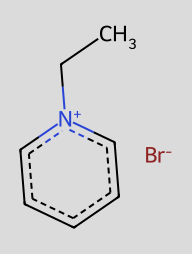 CC[n+]1ccccc1.[Br-]